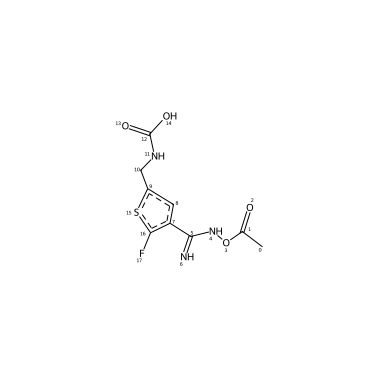 CC(=O)ONC(=N)c1cc(CNC(=O)O)sc1F